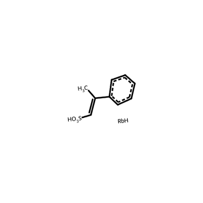 CC(=CS(=O)(=O)O)c1ccccc1.[RbH]